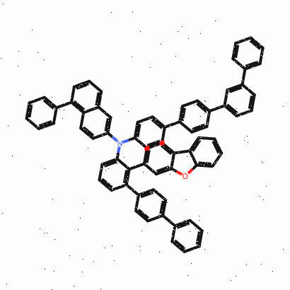 c1ccc(-c2ccc(-c3cccc(N(c4ccc(-c5ccc(-c6cccc(-c7ccccc7)c6)cc5)cc4)c4ccc5c(-c6ccccc6)cccc5c4)c3-c3ccc4c(c3)oc3ccccc34)cc2)cc1